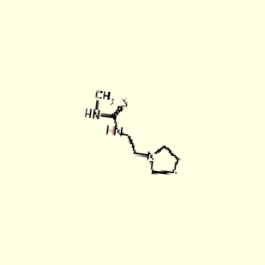 CNC(=S)NCCN1C[CH]CC1